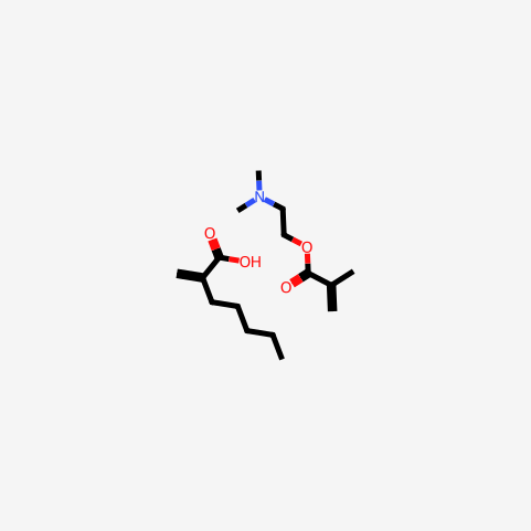 C=C(C)C(=O)OCCN(C)C.C=C(CCCCC)C(=O)O